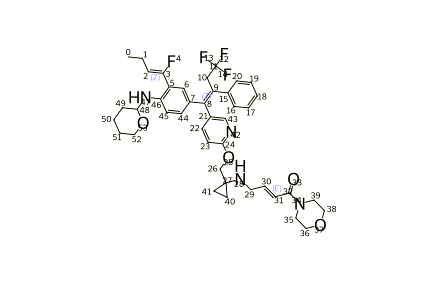 CC/C=C(\F)c1cc(/C(=C(\CC(F)(F)F)c2ccccc2)c2ccc(OCC3(NC/C=C/C(=O)N4CCOCC4)CC3)nc2)ccc1NC1CCCCO1